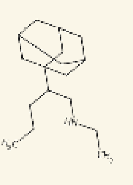 CCCC(CNCC)C12CC3CC(CC(C3)C1)C2